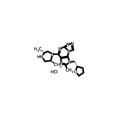 Cc1nc2c(N3C[C@@H](C)NC[C@@H]3C)nc3nncn3c2n1C[C@@H]1CCCO1.Cl